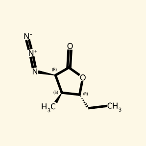 CC[C@H]1OC(=O)[C@H](N=[N+]=[N-])[C@@H]1C